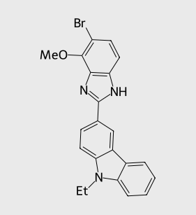 CCn1c2ccccc2c2cc(-c3nc4c(OC)c(Br)ccc4[nH]3)ccc21